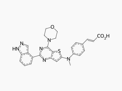 CN(c1ccc(C=CC(=O)O)cc1)c1cc2nc(-c3cccc4[nH]ncc34)nc(N3CCOCC3)c2s1